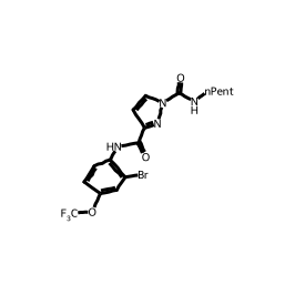 CCCCCNC(=O)n1ccc(C(=O)Nc2ccc(OC(F)(F)F)cc2Br)n1